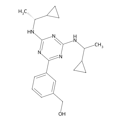 CC(Nc1nc(N[C@H](C)C2CC2)nc(-c2cccc(CO)c2)n1)C1CC1